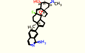 CN(C)[C@H]1C[C@@]23CC[C@]4(O2)C2CC=C(c5ccc6ccnc(N)c6c5)[C@@]2(C)CCC4(F)C=C3[C@@H](O)[C@@H]1O